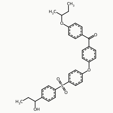 CCC(C)Oc1ccc(C(=O)c2ccc(Oc3ccc(S(=O)(=O)c4ccc(C(O)CC)cc4)cc3)cc2)cc1